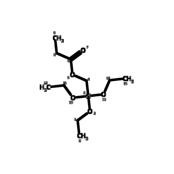 CCO[Si](COC(=O)CC)(OCC)OCC